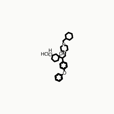 Cl.Cl.OC1(C(CN2CCN(CC3CCCCC3)CC2)c2ccc(Oc3ccccc3)cc2)CCCCC1